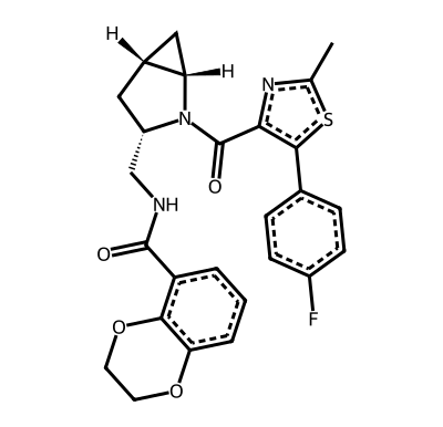 Cc1nc(C(=O)N2[C@H](CNC(=O)c3cccc4c3OCCO4)C[C@@H]3C[C@@H]32)c(-c2ccc(F)cc2)s1